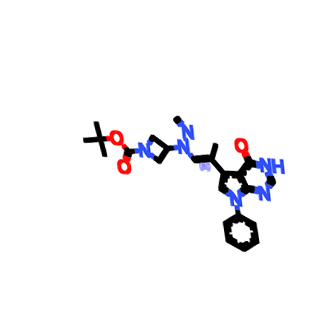 C=NN(/C=C(\C)c1cn(-c2ccccc2)c2nc[nH]c(=O)c12)C1CN(C(=O)OC(C)(C)C)C1